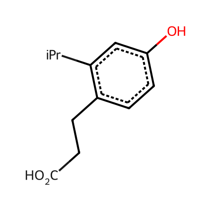 CC(C)c1cc(O)ccc1CCC(=O)O